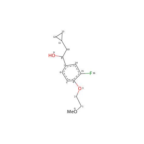 COCCOc1ccc(C(O)CC2CC2)cc1F